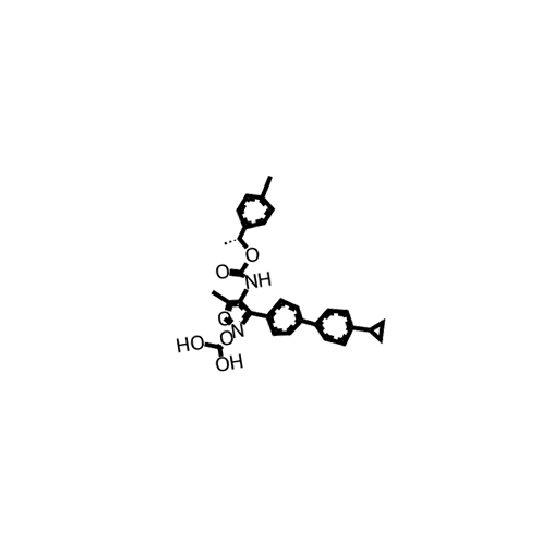 Cc1ccc([C@@H](C)OC(=O)Nc2c(-c3ccc(-c4ccc(C5CC5)cc4)cc3)noc2C)cc1.O=C(O)O